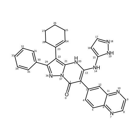 O=c1c(-c2ccc3nccnc3c2)c(Nc2ccn[nH]2)[nH]c2c(C3=CCCCC3)c(-c3ccccc3)nn12